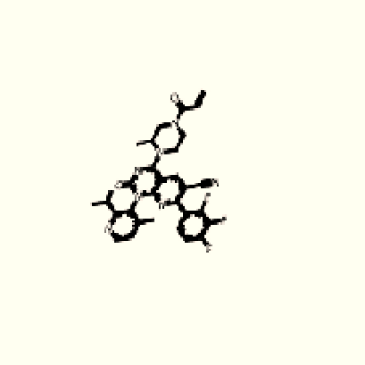 C=CC(=O)N1CCN(c2nc(=O)n(-c3c(C)ccnc3C(C)C)c3nc(-c4ccc(F)c(F)c4F)c(C#N)cc23)[C@@H](C)C1